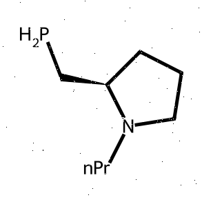 CCCN1CCC[C@@H]1CP